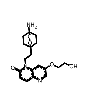 NC12CCC(CCn3c(=O)ccc4ncc(OCCO)cc43)(CC1)OC2